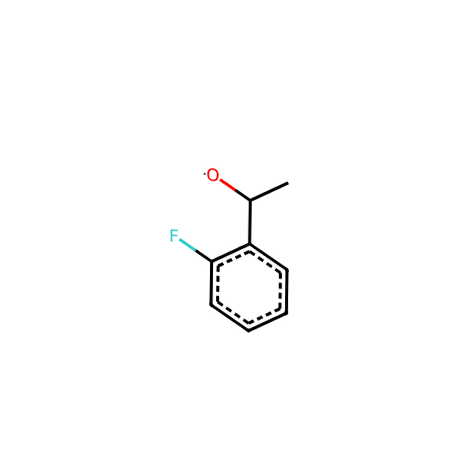 CC([O])c1ccccc1F